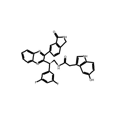 O=C(Cc1c[nH]c2ccc(O)cc12)NC[C@@H](c1cc(F)cc(F)c1)c1nc2ccccc2nc1-c1ccc2c(c1)C(=O)NC2